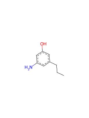 CCCc1cc(N)cc(O)c1